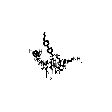 CCCCc1ccc(-c2ccc(C(=O)NCCC(=O)N[C@@H](CCCCN)C(=O)N[C@H](C(=O)N[C@H](C(=O)N[C@@H](CC(N)=O)C(=O)N[C@@H](C)B3OC4C[C@@H]5C[C@@H](C5(C)C)[C@]4(C)O3)C(C)C)C(C)O)cc2)cc1